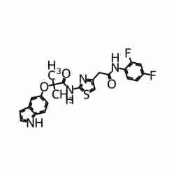 CC(C)(Oc1ccc2[nH]ccc2c1)C(=O)Nc1nc(CC(=O)Nc2ccc(F)cc2F)cs1